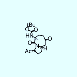 CC(=O)[C@@H]1CC[C@@H]2CC(=O)CC[C@H](NC(=O)OC(C)(C)C)C(=O)N21